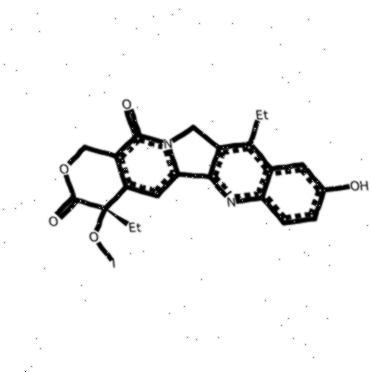 CCc1c2c(nc3ccc(O)cc13)-c1cc3c(c(=O)n1C2)COC(=O)[C@@]3(CC)OI